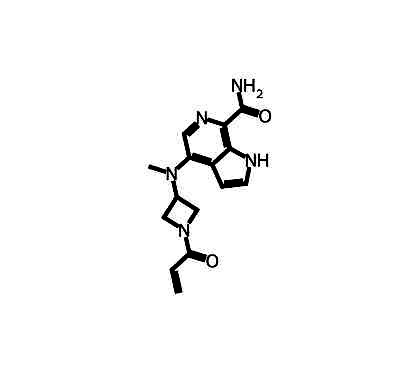 C=CC(=O)N1CC(N(C)c2cnc(C(N)=O)c3[nH]ccc23)C1